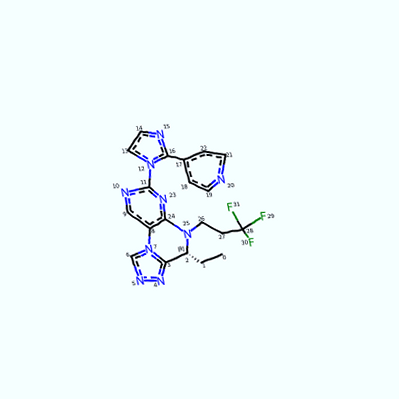 CC[C@@H]1c2nncn2-c2cnc(-n3ccnc3-c3ccncc3)nc2N1CCC(F)(F)F